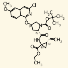 C=C[C@@H]1C[C@]1(NC(=O)[C@@H]1C[C@@H](OC2=NC(Cl)=CC3C=C(OC)C=CC23)CN1C(=O)OC(C)(C)C)C(=O)OCC